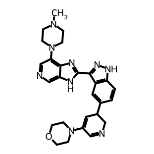 CN1CCN(c2cncc3[nH]c(-c4n[nH]c5ccc(C6C=C(N7CCOCC7)C=NC6)cc45)nc23)CC1